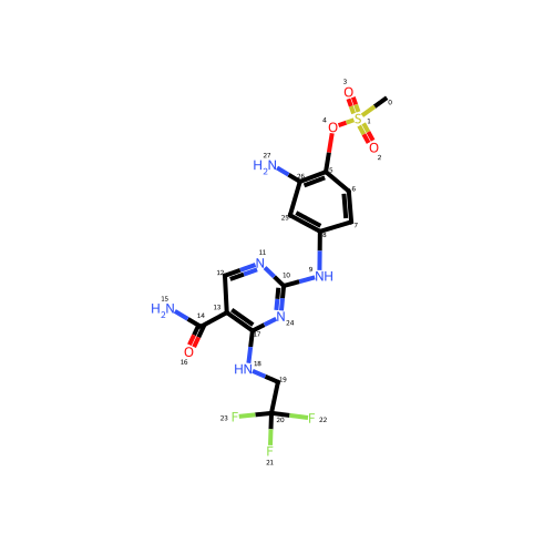 CS(=O)(=O)Oc1ccc(Nc2ncc(C(N)=O)c(NCC(F)(F)F)n2)cc1N